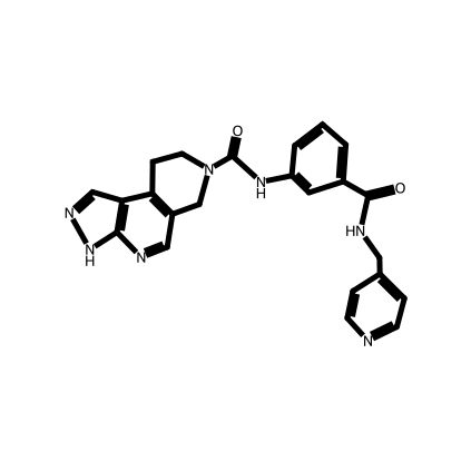 O=C(NCc1ccncc1)c1cccc(NC(=O)N2CCc3c(cnc4[nH]ncc34)C2)c1